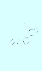 Cc1cc(P)c(N(C)C(=O)c2cn(C(C)(C)C)nc2F)cc1-c1cc(N2CCOCC2)c2nncn2c1